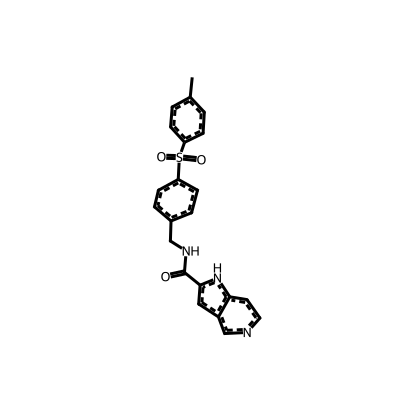 Cc1ccc(S(=O)(=O)c2ccc(CNC(=O)c3cc4cnccc4[nH]3)cc2)cc1